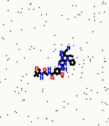 CCC1c2c(C#N)ncn2-c2cnc(Nc3ccc(C(=O)NCC(=O)NC(C=O)C(C)(C)C)cc3OC)nc2N1C1CCCC1